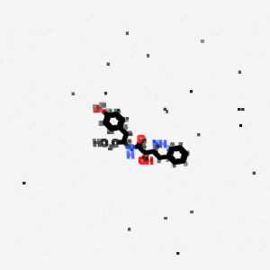 N[C@H](Cc1ccccc1)[C@H](O)C(=O)NC(Cc1ccc(Br)cc1)C(=O)O